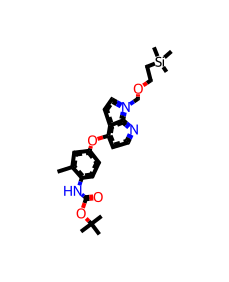 Cc1cc(Oc2ccnc3c2ccn3COCC[Si](C)(C)C)ccc1NC(=O)OC(C)(C)C